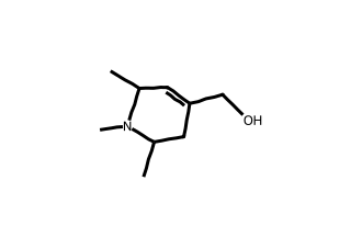 CC1C=C(CO)CC(C)N1C